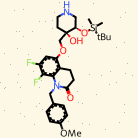 COc1ccc(CN2C(=O)CCc3c(OC[C@]4(O)CCNC[C@H]4O[Si](C)(C)C(C)(C)C)cc(F)c(F)c32)cc1